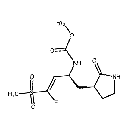 CC(C)(C)OC(=O)N[C@H](/C=C(\F)S(C)(=O)=O)C[C@@H]1CCNC1=O